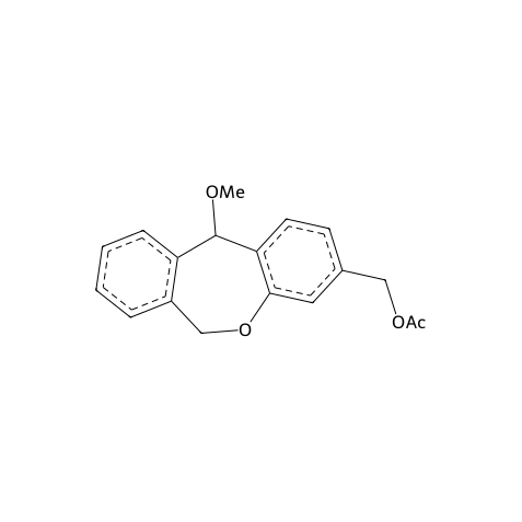 COC1c2ccccc2COc2cc(COC(C)=O)ccc21